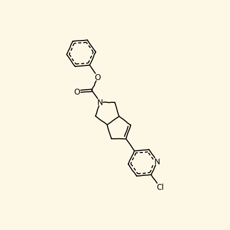 O=C(Oc1ccccc1)N1CC2C=C(c3ccc(Cl)nc3)CC2C1